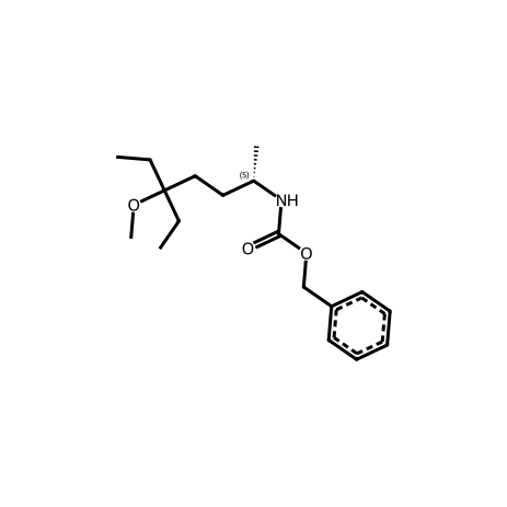 CCC(CC)(CC[C@H](C)NC(=O)OCc1ccccc1)OC